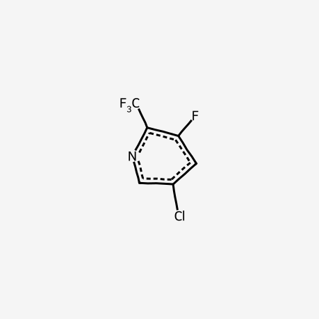 Fc1cc(Cl)cnc1C(F)(F)F